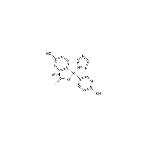 CNC(=O)OC(c1ccc(C#N)cc1)(c1ccc(C#N)cc1)n1cncn1